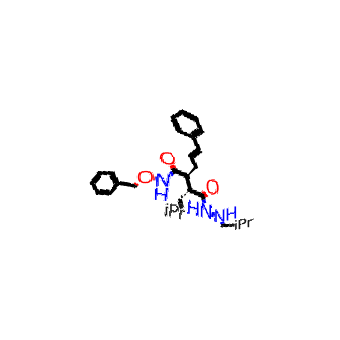 CC(C)CNNC(=O)[C@H](CC(C)C)[C@H](CC=Cc1ccccc1)C(=O)NOCc1ccccc1